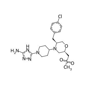 CS(=O)(=O)C[C@H]1CN(C2CCN(c3nnc(N)[nH]3)CC2)[C@@H](Cc2ccc(Cl)cc2)CO1